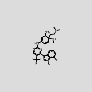 CNC1(CCN(C)C)C=CC(Nc2ncc(C(F)(F)F)c(-c3cn(C)c4c(F)cccc34)n2)=CC1N